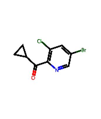 O=C(c1ncc(Br)cc1Cl)C1CC1